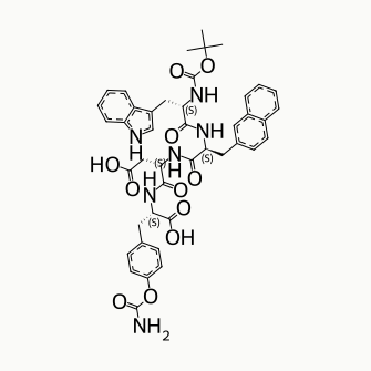 CC(C)(C)OC(=O)N[C@@H](Cc1c[nH]c2ccccc12)C(=O)N[C@@H](Cc1ccc2ccccc2c1)C(=O)N[C@@H](CC(=O)O)C(=O)N[C@@H](Cc1ccc(OC(N)=O)cc1)C(=O)O